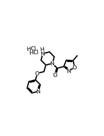 Cc1cc(C(=O)N2CCNCC2COc2cccnc2)no1.Cl.Cl